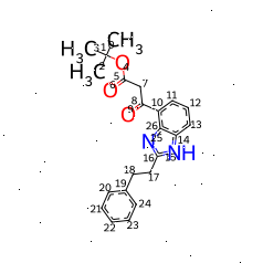 CC(C)(C)OC(=O)CC(=O)c1cccc2[nH]c(CCc3ccccc3)nc12